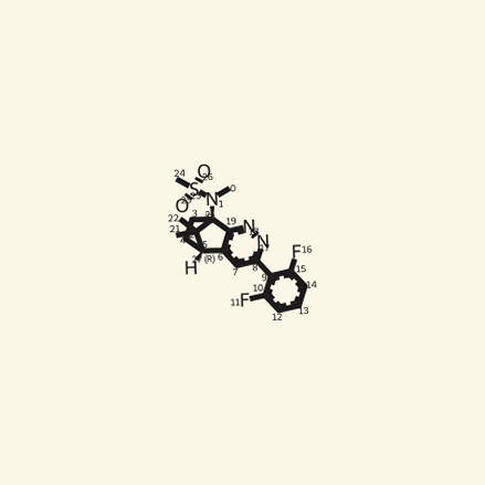 CN([C@@]12CC[C@@H](c3cc(-c4c(F)cccc4F)nnc31)C2(C)C)S(C)(=O)=O